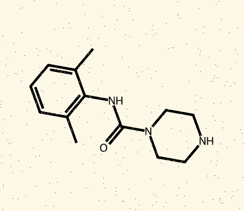 Cc1cccc(C)c1NC(=O)N1CCNCC1